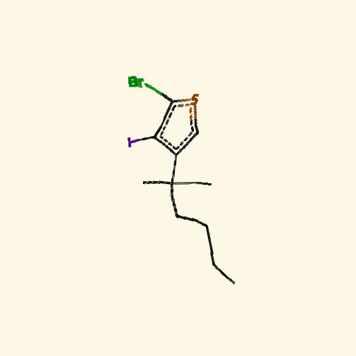 CCCCC(C)(C)c1csc(Br)c1I